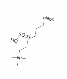 CCCCCCCCCCCCCCC[N+](C)(C)C.O=S(=O)(O)O